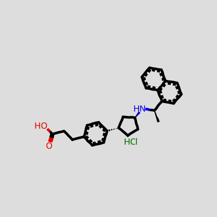 C[C@@H](N[C@H]1CC[C@H](c2ccc(CCC(=O)O)cc2)C1)c1cccc2ccccc12.Cl